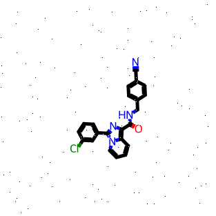 N#Cc1ccc(CNC(=O)c2nc(-c3cccc(Cl)c3)n3ccccc23)cc1